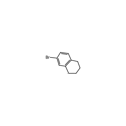 Brc1ccc2c(c1)[CH]CCC2